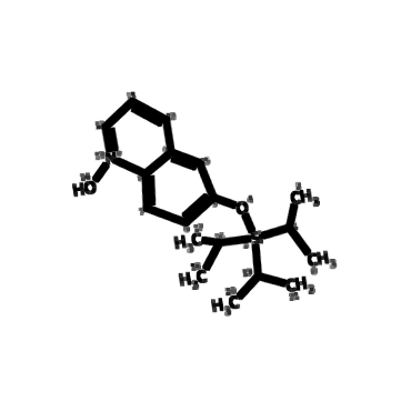 CC(C)[Si](Oc1ccc2c(ccc[n+]2O)c1)(C(C)C)C(C)C